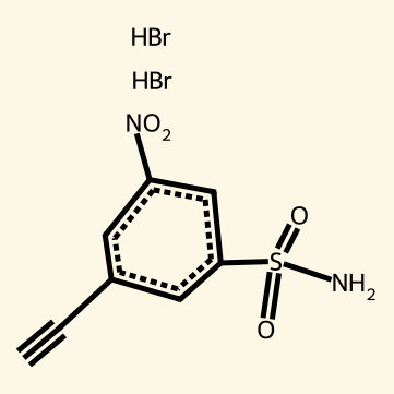 Br.Br.C#Cc1cc([N+](=O)[O-])cc(S(N)(=O)=O)c1